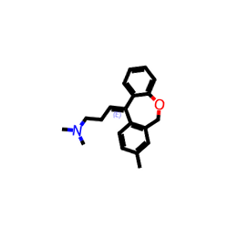 Cc1ccc2c(c1)COc1ccccc1/C2=C/CCN(C)C